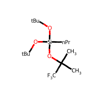 CCC[Si](OC(C)(C)C)(OC(C)(C)C)OC(C)(C)C(F)(F)F